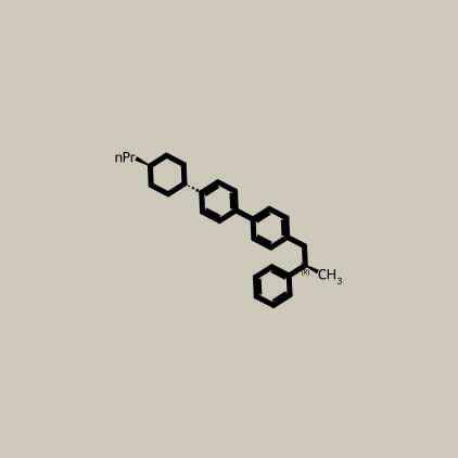 CCC[C@H]1CC[C@H](c2ccc(-c3ccc(C[C@@H](C)c4ccccc4)cc3)cc2)CC1